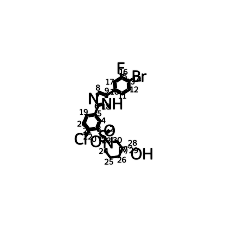 O=S(=O)(c1cc(-c2ncc(-c3ccc(Br)c(F)c3)[nH]2)ccc1Cl)N1CCC[C@@H](CO)C1